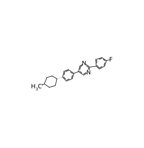 C[C@H]1CC[C@H](c2ccc(-c3cnc(-c4ccc(F)cc4)nc3)cc2)CC1